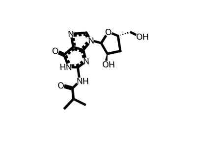 CC(C)C(=O)Nc1nc2c(ncn2C2O[C@H](CO)C[C@H]2O)c(=O)[nH]1